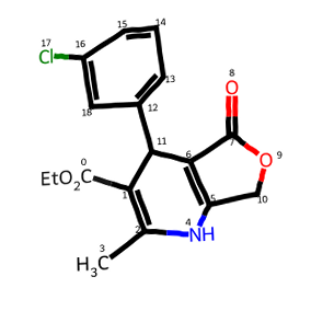 CCOC(=O)C1=C(C)NC2=C(C(=O)OC2)C1c1cccc(Cl)c1